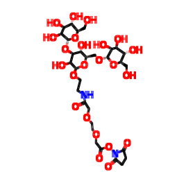 O=C(COCCOCC(=O)ON1C(=O)CCC1=O)NCCO[C@@H]1O[C@H](CO[C@H]2O[C@H](CO)[C@@H](O)[C@H](O)[C@@H]2O)[C@@H](O)[C@H](O[C@H]2O[C@H](CO)[C@@H](O)[C@H](O)[C@@H]2O)[C@@H]1O